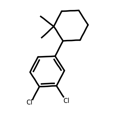 CC1(C)CCCCC1c1ccc(Cl)c(Cl)c1